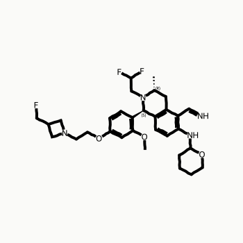 COc1cc(OCCN2CC(CF)C2)ccc1[C@@H]1c2ccc(NC3CCCCO3)c(C=N)c2C[C@@H](C)N1CC(F)F